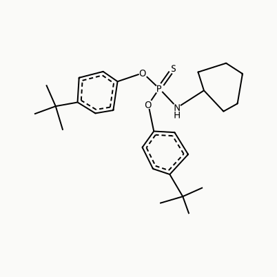 CC(C)(C)c1ccc(OP(=S)(NC2CCCCC2)Oc2ccc(C(C)(C)C)cc2)cc1